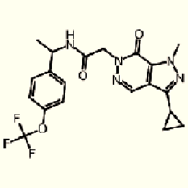 CC(NC(=O)Cn1ncc2c(C3CC3)nn(C)c2c1=O)c1ccc(OC(F)(F)F)cc1